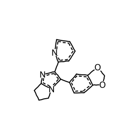 c1ccc(-c2nc3n(c2-c2ccc4c(c2)OCO4)CCC3)nc1